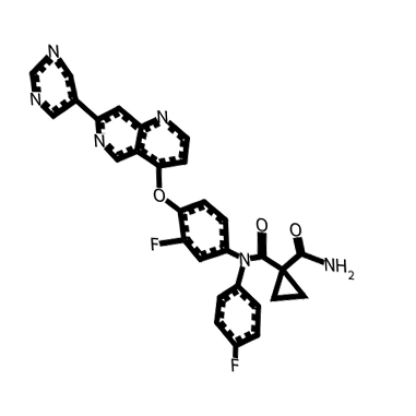 NC(=O)C1(C(=O)N(c2ccc(F)cc2)c2ccc(Oc3ccnc4cc(-c5cncnc5)ncc34)c(F)c2)CC1